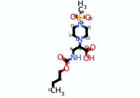 CCCCOC(=O)NCC(C(=O)O)N1CCN(S(C)(=O)=O)CC1